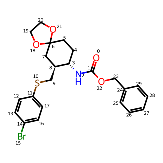 O=C(N[C@H]1CCC2(C[C@@H]1CSc1ccc(Br)cc1)OCCO2)OCc1ccccc1